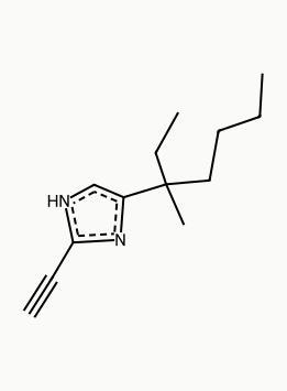 C#Cc1nc(C(C)(CC)CCCC)c[nH]1